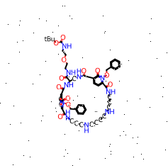 CC(C)(C)OC(=O)NCCOCCNC(=O)C1CNC(=O)c2ccc(n(OCc3ccccc3)c2=O)C(=O)NCCCNCCCCNCCCNC(=O)c2ccc(c(=O)n2OCc2ccccc2)C(=O)N1